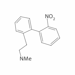 CNCCc1ccccc1-c1ccccc1[N+](=O)[O-]